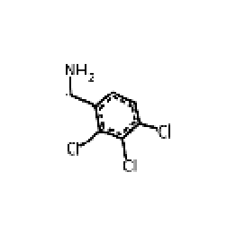 N[CH]c1ccc(Cl)c(Cl)c1Cl